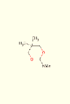 CNC1OCC(C)(C)CO1